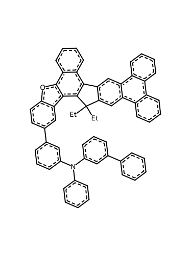 CCC1(CC)c2cc3c4ccccc4c4ccccc4c3cc2-c2c1c1c3cc(-c4cccc(N(c5ccccc5)c5cccc(-c6ccccc6)c5)c4)ccc3oc1c1ccccc21